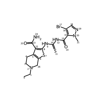 CCN1CCc2c(sc(NC(=S)NC(=O)c3c(Br)cnn3C)c2C(N)=O)C1